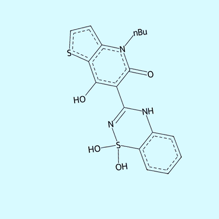 CCCCn1c(=O)c(C2=NS(O)(O)c3ccccc3N2)c(O)c2sccc21